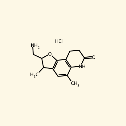 Cc1cc2c(c3c1NC(=O)CC3)OC(CN)C2C.Cl